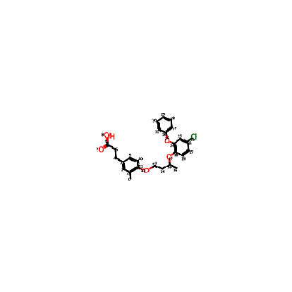 Cc1cc(CCC(=O)O)ccc1OCCC(C)Oc1ccc(Cl)cc1Oc1ccccc1